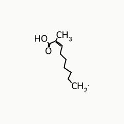 [CH2]CCCCCC=C(C)C(=O)O